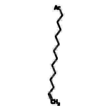 C=CCCCCCCCCCCCC(C)=O